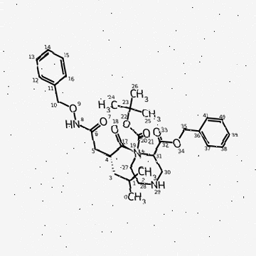 CC(C)C[C@H](CC(=O)NOCc1ccccc1)C(=O)[N@+]1(C(=O)OC(C)(C)C)CCNCC1C(=O)OCc1ccccc1